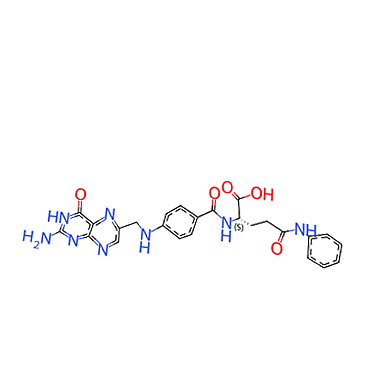 Nc1nc2ncc(CNc3ccc(C(=O)N[C@@H](CCC(=O)Nc4ccccc4)C(=O)O)cc3)nc2c(=O)[nH]1